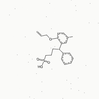 C=CCOc1ccc(C)cc1C(CCCS(=O)(=O)O)c1ccccc1